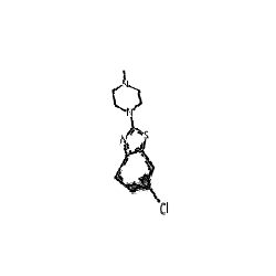 CN1CCN(c2nc3ccc(Cl)cc3s2)CC1